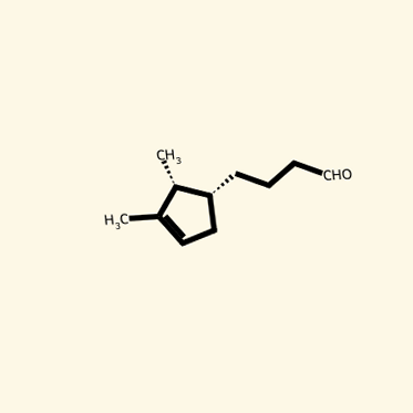 CC1=CC[C@@H](CCCC=O)[C@H]1C